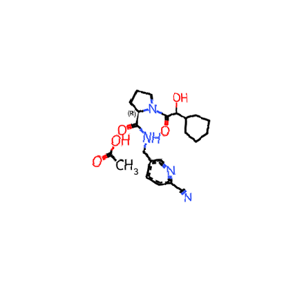 CC(=O)O.N#Cc1ccc(CNC(=O)[C@H]2CCCN2C(=O)C(O)C2CCCCC2)cn1